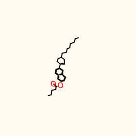 CCCCCCCCC1CC=C(c2ccc3cc(OC(=O)CCCC)ccc3c2)CC1